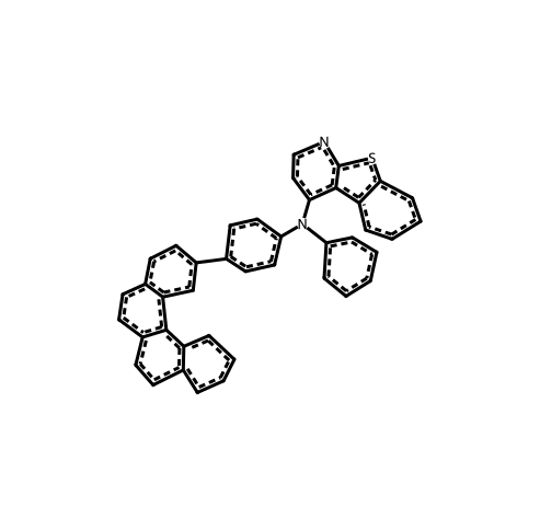 c1ccc(N(c2ccc(-c3ccc4ccc5ccc6ccccc6c5c4c3)cc2)c2ccnc3sc4ccccc4c23)cc1